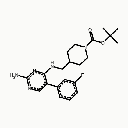 CC(C)(C)OC(=O)N1CCC(CNc2nc(N)ncc2-c2cccc(F)c2)CC1